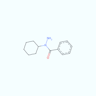 NN(C(=O)c1ccccc1)C1CCCCC1